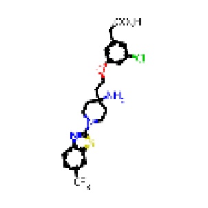 NC1(CCOc2cc(Cl)cc(CC(=O)O)c2)CCN(c2nc3ccc(C(F)(F)F)cc3s2)CC1